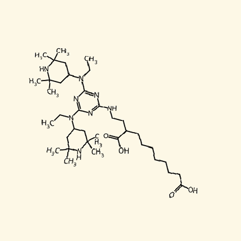 CCN(c1nc(NCCC(CCCCCCCC(=O)O)C(=O)O)nc(N(CC)C2CC(C)(C)NC(C)(C)C2)n1)C1CC(C)(C)NC(C)(C)C1